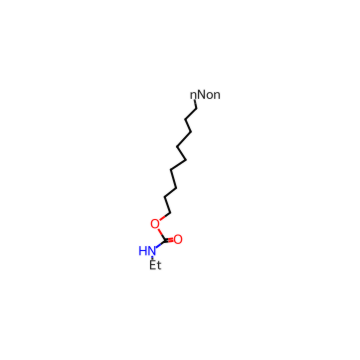 CCCCCCCCCCCCCCCCCCOC(=O)NCC